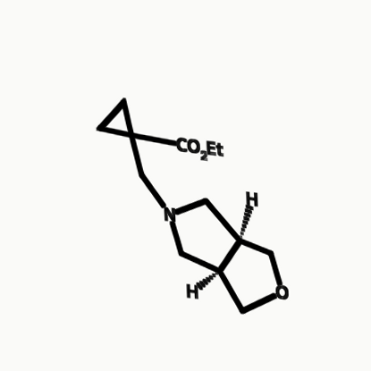 CCOC(=O)C1(CN2C[C@H]3COC[C@H]3C2)CC1